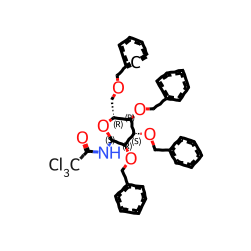 O=C(N[C@H]1O[C@H](COCc2ccccc2)[C@@H](OCc2ccccc2)[C@H](OCc2ccccc2)[C@H]1OCc1ccccc1)C(Cl)(Cl)Cl